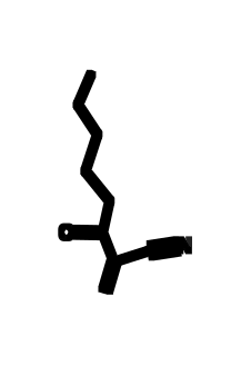 C=C(C#N)C(=O)CCCCC